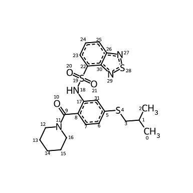 CC(C)CSc1ccc(C(=O)N2CCCCC2)c(NS(=O)(=O)c2cccc3nsnc23)c1